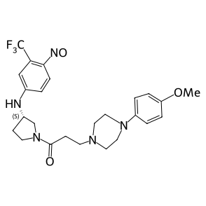 COc1ccc(N2CCN(CCC(=O)N3CC[C@H](Nc4ccc(N=O)c(C(F)(F)F)c4)C3)CC2)cc1